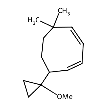 COC1(C2C=CC=CC(C)(C)CC2)CC1